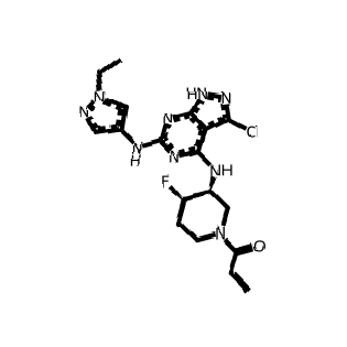 C=CC(=O)N1CC[C@@H](F)[C@@H](Nc2nc(Nc3cnn(CC)c3)nc3[nH]nc(Cl)c23)C1